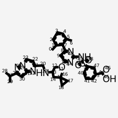 Cc1cccc(C)c1-c1cc(OCC(CC2(C)CC2)NCc2ccn3nc(C(C)C)cc3n2)nc(NS(=O)(=O)c2cccc(C(=O)O)c2)n1